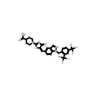 O=C1N=C(N2CCC(C(=O)O)CC2)SC1=Cc1ccc2c(cnn2Cc2ccc(C(F)(F)F)cc2C(F)(F)F)c1